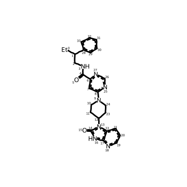 CCC(CNC(=O)c1cc(N2CCC(n3c(=O)[nH]c4ncccc43)CC2)ncn1)c1ccccc1